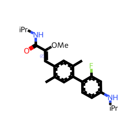 CO/C(=C\c1cc(C)c(-c2ccc(NC(C)C)cc2F)cc1C)C(=O)NC(C)C